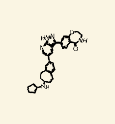 O=C1NCCOc2cc(-c3n[nH]c4ncc(-c5ccc6c(c5)CCC(NC5CCCC5)CC6)cc34)ccc21